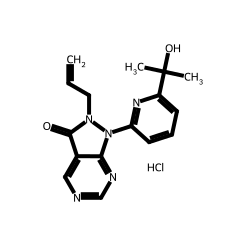 C=CCn1c(=O)c2cncnc2n1-c1cccc(C(C)(C)O)n1.Cl